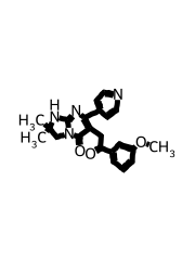 COc1cccc(C(=O)Cc2c(-c3ccncc3)nc3n(c2=O)CC(C)(C)N3)c1